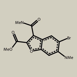 CNC(=O)c1c(C(=O)OC)oc2cc(NC)c(Br)cc12